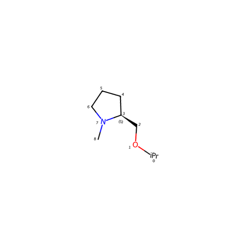 CC(C)OC[C@@H]1CCCN1C